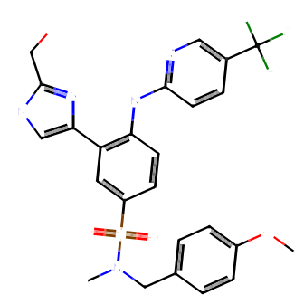 COc1ccc(CN(C)S(=O)(=O)c2ccc(Nc3ccc(C(F)(F)F)cn3)c(-c3c[nH]c(CO)n3)c2)cc1